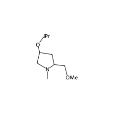 COCC1CC(OC(C)C)CN1C